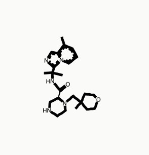 Cc1cccn2c(C(C)(C)NC(=O)[C@@H]3CNCCN3CC3(C)CCOCC3)ncc12